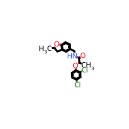 CC1Cc2cc(CNC(=O)C(C)Oc3ccc(Cl)cc3Cl)ccc2O1